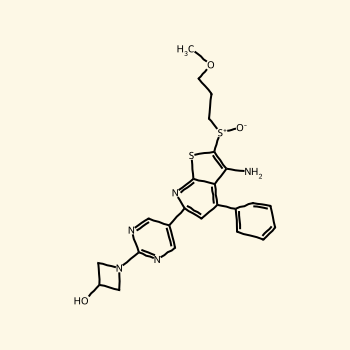 COCCC[S+]([O-])c1sc2nc(-c3cnc(N4CC(O)C4)nc3)cc(-c3ccccc3)c2c1N